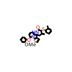 C=C1CC(c2ccsc2)(c2cccc(Oc3ccccc3OC)n2)NC(=O)C1Sc1ccccc1C